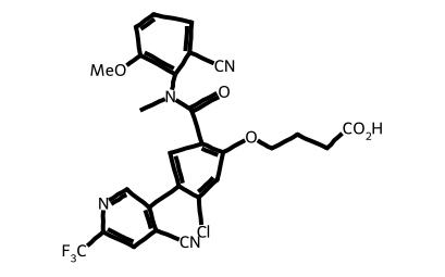 COc1cccc(C#N)c1N(C)C(=O)c1cc(-c2cnc(C(F)(F)F)cc2C#N)c(Cl)cc1OCCCC(=O)O